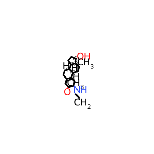 C=CCNC1C[C@@]2(C)C(=CC1=O)CC[C@H]1[C@@H]3CC[C@H](O)[C@@]3(C)CC[C@@H]12